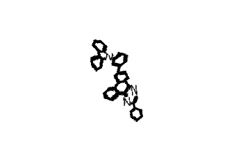 c1ccc(-c2cnc3c4ccc(-c5cccc(-n6c7ccccc7c7ccccc76)c5)cc4c4ccccc4c3n2)cc1